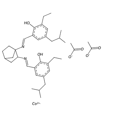 CC(=O)[O-].CC(=O)[O-].CCc1cc(CC(C)C)cc(C=NC2CC3CCC2(N=Cc2cc(CC(C)C)cc(CC)c2O)C3)c1O.[Co+2]